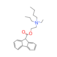 CCCC[N+](CC)(CCC)CCOC(=O)C1c2ccccc2-c2ccccc21